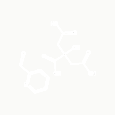 O=C(O)CC(O)(CC(=O)O)C(=O)O.O=Cc1ccccn1